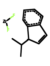 CC(C)[C]1C=Cc2ccccc21.[F][Zr][F]